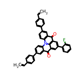 C=Cc1ccc(-c2ccc3c(c2)c(=O)c2cc(-c4ccccc4F)cc4c(=O)c5cc(-c6ccc(C=C)cc6)ccc5n3c24)cc1